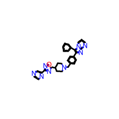 c1ccc(-c2c(-c3ccc(CN4CCC(c5nc(-c6cnccn6)no5)CC4)cc3)nc3ncccn23)cc1